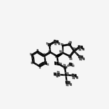 COC(c1ccccn1)C(N[S@+]([O-])C(C)(C)C)[C@H]1COC(C)(C)O1